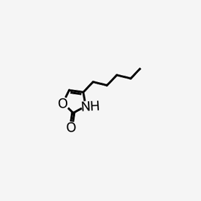 CCCCCc1coc(=O)[nH]1